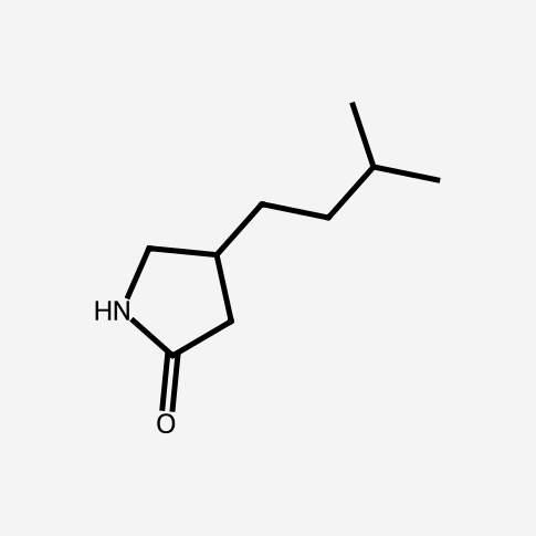 CC(C)CCC1CNC(=O)C1